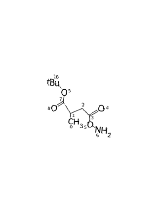 CC(CC(=O)ON)C(=O)OC(C)(C)C